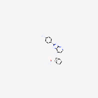 CN(C)c1ccc(-c2nc3c(N[C@H]4[C@@H](C(N)=O)[C@@H]5C=C[C@H]4C5)ccnc3[nH]2)cc1